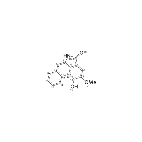 COc1cc2c3c(cc4ccccc4c3c1O)NC2=O